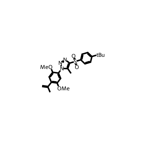 C=C(C)c1cc(OC)c(-n2nnc(S(=O)(=O)c3ccc(C(C)(C)C)cc3)c2C)cc1OC